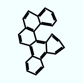 c1ccc2c(c1)ccc1ccc3c4ccccc4c4ccccc4c3c12